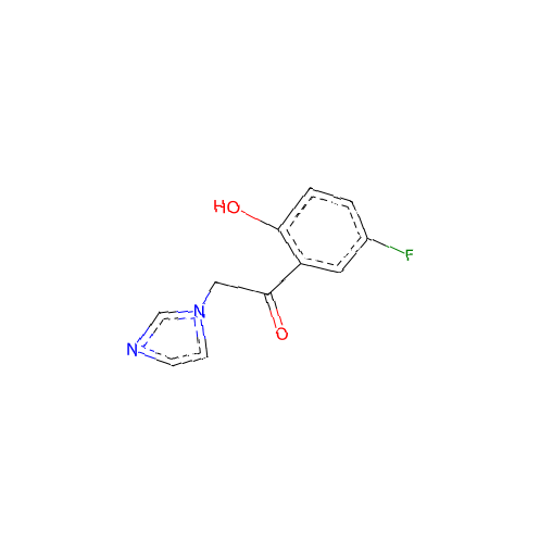 O=C(Cn1ccnc1)c1cc(F)ccc1O